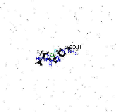 N[C@@H](CN1CC[C@H](n2ncc(Nc3ncc(C(F)(F)F)c(NC4CC4)n3)c2Cl)[C@@H](F)C1)C(=O)O